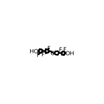 Oc1ccc(-c2ccc(COC3CCC(c4ccc(O)c(F)c4F)CC3)c(F)c2)c(F)c1F